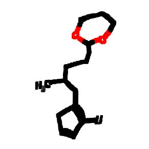 [Li][C]1=C(CC(C)CCC2OCCCO2)CC=C1